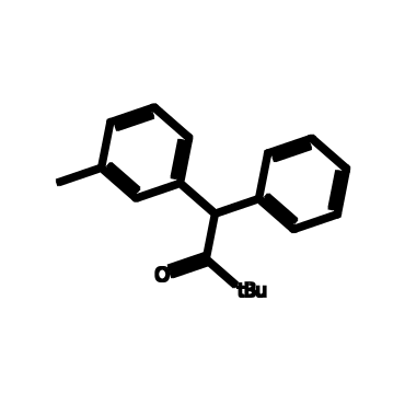 Cc1cccc(C(C(=O)C(C)(C)C)c2ccccc2)c1